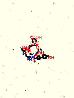 CC[C@H]1OC(=O)[C@H](C)[C@@H](O[C@H]2C[C@@](C)(OC)[C@@H](O)[C@H](C)O2)[C@H](C)[C@@H](O[C@@H]2O[C@H](C)C[C@H](N(C)CCc3cn([C@H](CF)[C@H](OC)c4ccc(-c5ccc(CO)cc5)cc4)nn3)[C@H]2O)[C@](C)(O)C[C@@H](C)CN(C)[C@H](C)[C@@H](O)[C@]1(C)O